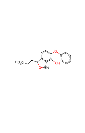 O=C(O)CCC1OBc2c1ccc(Oc1ccccc1)c2O